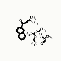 CCOC(C)OCC.CN(C)/C=C/C(=O)c1ccc2ccccc2c1.CN(C)C=O